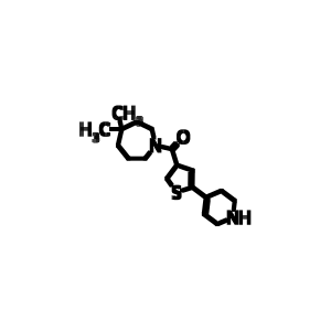 CC1(C)CCCN(C(=O)C2C=C(C3=CCNCC3)SC2)CC1